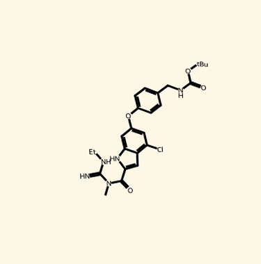 CCNC(=N)N(C)C(=O)c1cc2c(Cl)cc(Oc3ccc(CNC(=O)OC(C)(C)C)cc3)cc2[nH]1